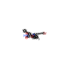 CC(C)(C)[Si](C)(C)O[C@@H](CN(CCCCCCCCCBr)Cc1ccccc1)c1ccc(OCc2ccccc2)c2[nH]c(=O)ccc12